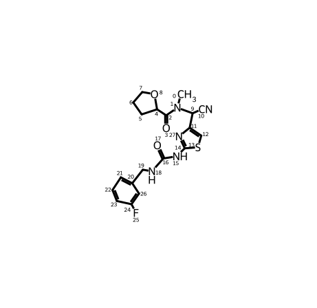 CN(C(=O)C1CCCO1)C(C#N)c1csc(NC(=O)NCc2cccc(F)c2)n1